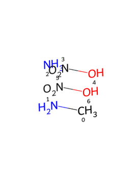 CN.N.O=[N+]([O-])O.O=[N+]([O-])O